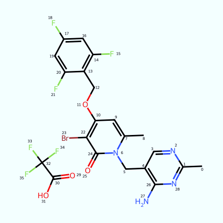 Cc1ncc(Cn2c(C)cc(OCc3c(F)cc(F)cc3F)c(Br)c2=O)c(N)n1.O=C(O)C(F)(F)F